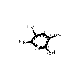 Sc1cc(S)c(S)nc1S